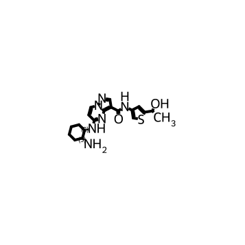 CC(O)c1cc(NC(=O)c2cnn3ccc(N[C@@H]4CCCC[C@@H]4N)nc23)cs1